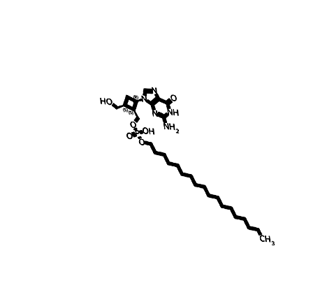 CCCCCCCCCCCCCCCCCCOP(=O)(O)OC[C@H]1[C@@H](CO)C[C@H]1n1cnc2c(=O)[nH]c(N)nc21